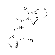 CCOc1ccccc1CNC(=O)n1oc2ccccc2c1=O